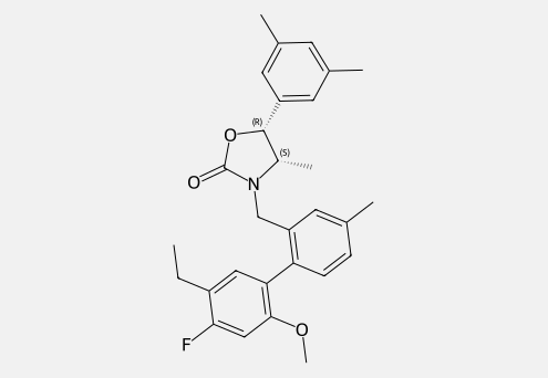 CCc1cc(-c2ccc(C)cc2CN2C(=O)O[C@H](c3cc(C)cc(C)c3)[C@@H]2C)c(OC)cc1F